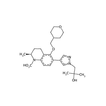 C[C@H]1CCc2c(ccc(-c3cnn(CC(C)(C)O)c3)c2OCC2CCOCC2)N1C(=O)O